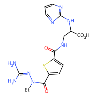 CCN(N=C(N)N)C(=O)c1ccc(C(=O)NCC(Nc2ncccn2)C(=O)O)s1